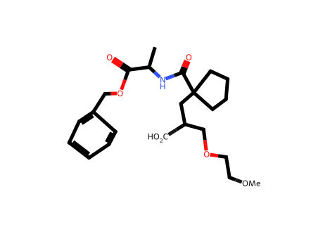 COCCOCC(CC1(C(=O)NC(C)C(=O)OCc2ccccc2)CCCC1)C(=O)O